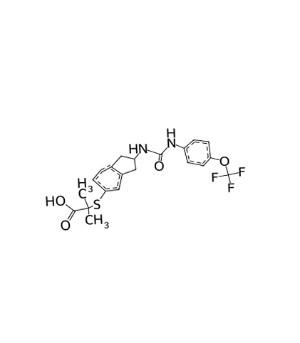 CC(C)(Sc1ccc2c(c1)CC(NC(=O)Nc1ccc(OC(F)(F)F)cc1)C2)C(=O)O